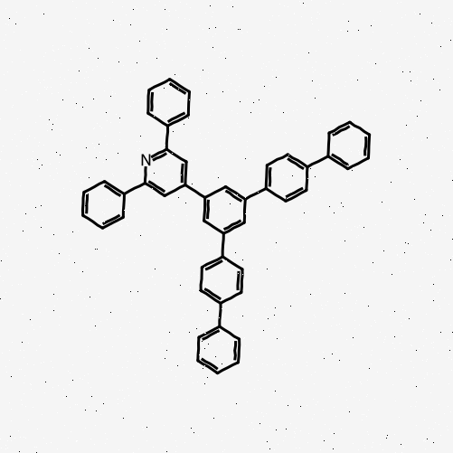 c1ccc(-c2ccc(-c3cc(-c4ccc(-c5ccccc5)cc4)cc(-c4cc(-c5ccccc5)nc(-c5ccccc5)c4)c3)cc2)cc1